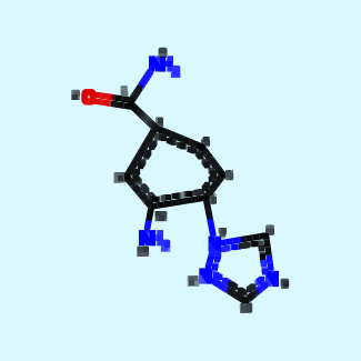 NC(=O)c1ccc(-n2cncn2)c(N)c1